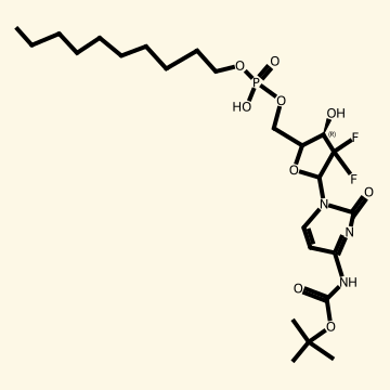 CCCCCCCCCCOP(=O)(O)OCC1OC(n2ccc(NC(=O)OC(C)(C)C)nc2=O)C(F)(F)[C@@H]1O